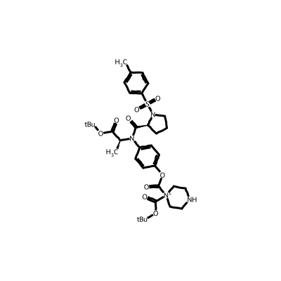 Cc1ccc(S(=O)(=O)N2CCC[C@H]2C(=O)N(c2ccc(OC(=O)[N+]3(C(=O)OC(C)(C)C)CCNCC3)cc2)[C@@H](C)C(=O)OC(C)(C)C)cc1